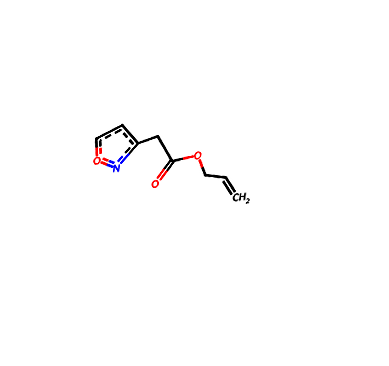 C=CCOC(=O)Cc1ccon1